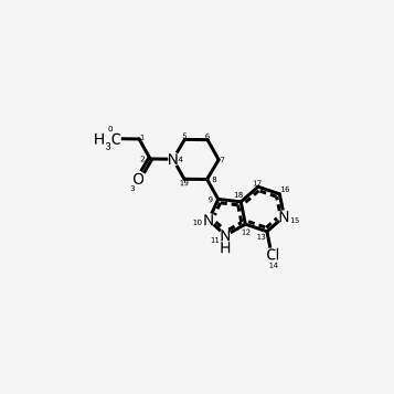 CCC(=O)N1CCCC(c2n[nH]c3c(Cl)nccc23)C1